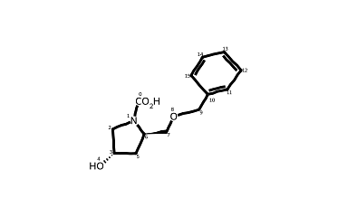 O=C(O)N1C[C@@H](O)C[C@@H]1COCc1ccccc1